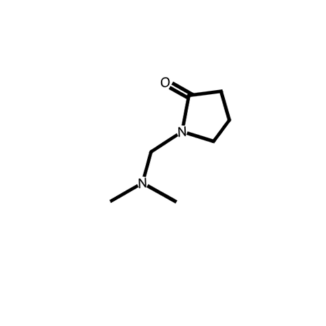 CN(C)CN1CCCC1=O